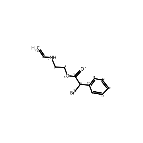 C=CNCCOC(=O)C(Br)c1ccccc1